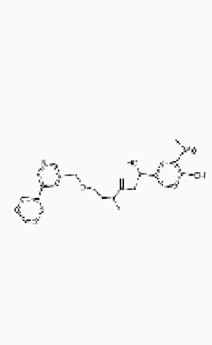 CC(CCOCc1cncc(-c2ccccc2)c1)NCC(O)c1ccc(O)c([S+](C)[O-])c1